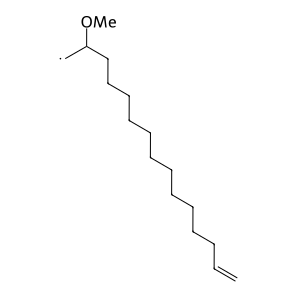 [CH2]C(CCCCCCCCCCCC=C)OC